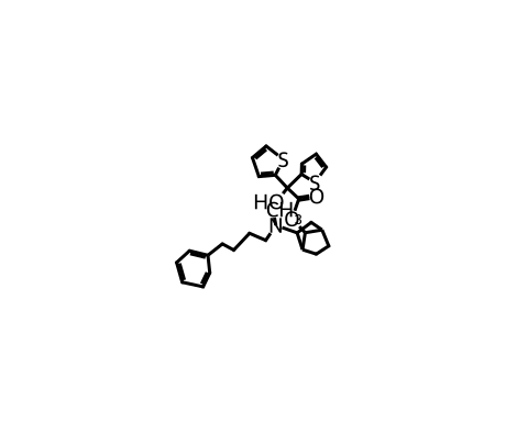 CN(CCCCc1ccccc1)C1CC2CCC1C2OC(=O)C(O)(c1cccs1)c1cccs1